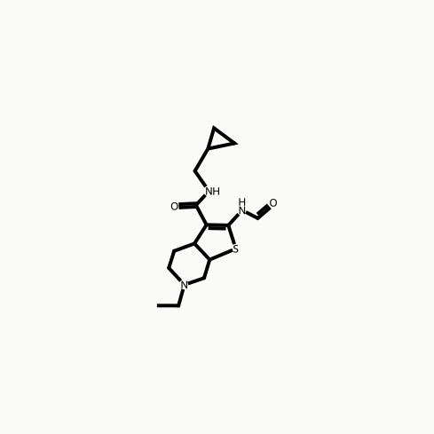 CCN1CCC2C(C(=O)NCC3CC3)=C(NC=O)SC2C1